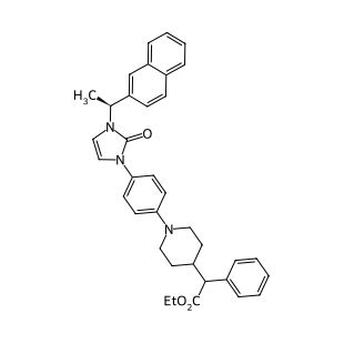 CCOC(=O)C(c1ccccc1)C1CCN(c2ccc(-n3ccn([C@@H](C)c4ccc5ccccc5c4)c3=O)cc2)CC1